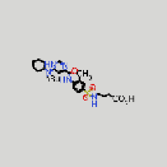 CCCCN(C1CCCCC1)C1C=C(C(=O)Nc2ccc(S(=O)(=O)NCCCC(=O)O)cc2C)N=CN1